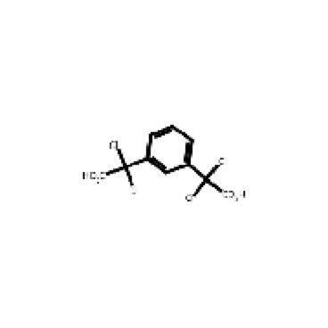 O=C(O)C(Cl)(Cl)c1cccc(C(Cl)(Cl)C(=O)O)c1